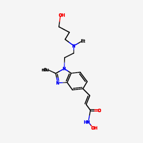 CCCCc1nc2cc(C=CC(=O)NO)ccc2n1CCN(CC)CCCO